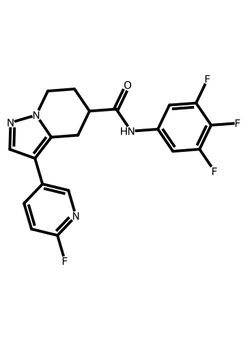 O=C(Nc1cc(F)c(F)c(F)c1)C1CCn2ncc(-c3ccc(F)nc3)c2C1